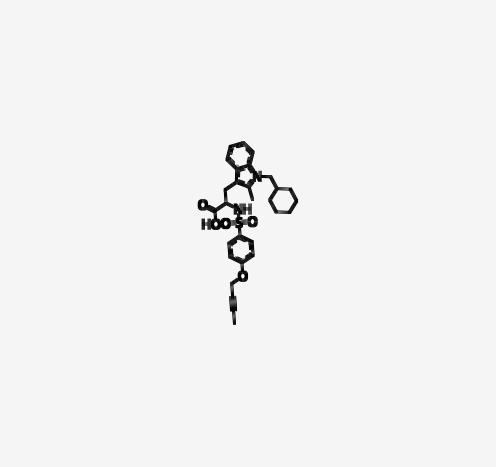 CC#CCOc1ccc(S(=O)(=O)NC(Cc2c(C)n(CC3CCCCC3)c3ccccc23)C(=O)O)cc1